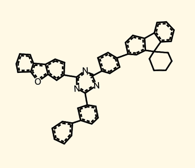 c1ccc(-c2cccc(-c3nc(-c4ccc(-c5ccc6c(c5)C5(CCCCC5)c5ccccc5-6)cc4)nc(-c4ccc5c(c4)oc4ccccc45)n3)c2)cc1